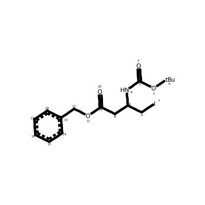 CC(C)(C)OC(=O)NC(CI)CC(=O)OCc1ccccc1